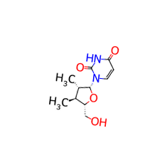 C[C@H]1[C@H](C)[C@@H](CO)O[C@H]1n1ccc(=O)[nH]c1=O